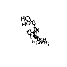 COc1ccccc1-c1nn(COCC[Si](C)(C)C)c2ncc(-c3cccc(C(O)CO)c3)cc12